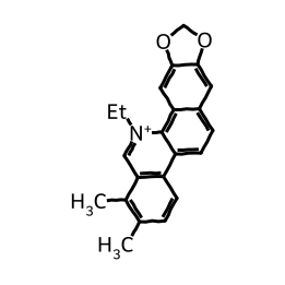 CC[n+]1cc2c(C)c(C)ccc2c2ccc3cc4c(cc3c21)OCO4